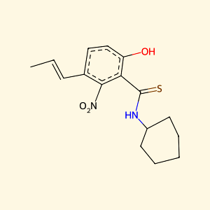 CC=Cc1ccc(O)c(C(=S)NC2CCCCC2)c1[N+](=O)[O-]